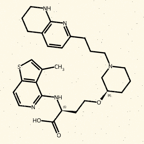 Cc1csc2ccnc(N[C@@H](CCO[C@@H]3CCCN(CCCc4ccc5c(n4)NCCC5)C3)C(=O)O)c12